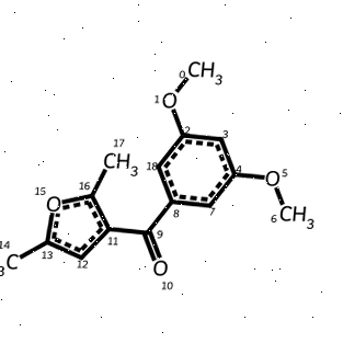 COc1cc(OC)cc(C(=O)c2cc(C)oc2C)c1